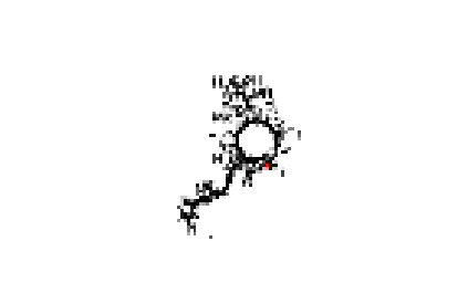 CCO[C@@H](O[C@@H]1[C@@H](C)C(=O)[C@](C)(F)C(=O)O[C@H](CC)[C@@]2(C)OC(=O)N(CC#CCn3cc(-c4cncc(N)n4)nn3)[C@@H]2[C@@H](C)C(=O)[C@H](C)C[C@@]1(C)OC)C(O)C(CC)N(C)C